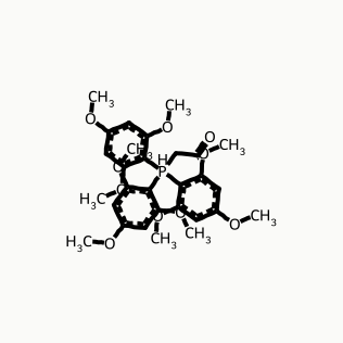 COc1cc(OC)c([PH](C[C]=O)(c2c(OC)cc(OC)cc2OC)c2c(OC)cc(OC)cc2OC)c(OC)c1